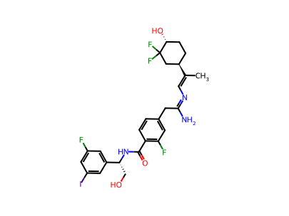 C/C(=C\N=C(\N)Cc1ccc(C(=O)N[C@H](CO)c2cc(F)cc(I)c2)c(F)c1)[C@@H]1CC[C@@H](O)C(F)(F)C1